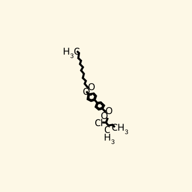 CCCCCCCCCCCC(=O)Oc1ccc(-c2ccc(C(=O)OCC(Cl)C(C)CC)cc2)cc1